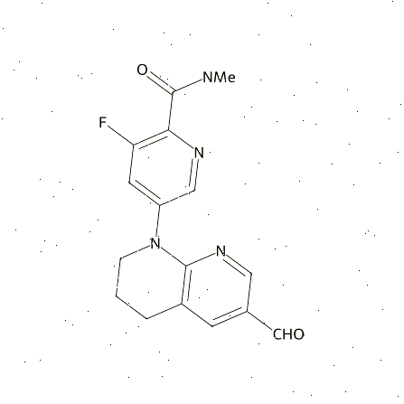 CNC(=O)c1ncc(N2CCCc3cc(C=O)cnc32)cc1F